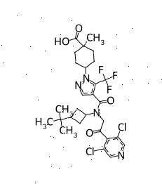 CC1(C(=O)O)CCC(n2ncc(C(=O)N(CC(=O)c3c(Cl)cncc3Cl)C3CC(C(C)(C)C)C3)c2C(F)(F)F)CC1